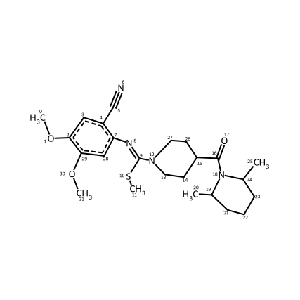 COc1cc(C#N)c(N=C(SC)N2CCC(C(=O)N3C(C)CCCC3C)CC2)cc1OC